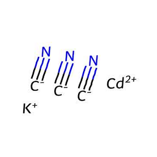 [C-]#N.[C-]#N.[C-]#N.[Cd+2].[K+]